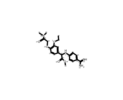 CCOc1cc(C(Nc2ccc(C(=N)N)cc2)C(=O)OC)ccc1OCC(=O)N(C)C